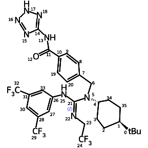 CC(C)(C)[C@H]1CC[C@H](N(Cc2ccc(C(=O)Nc3nn[nH]n3)cc2)/C(=N\CC(F)(F)F)Nc2cc(C(F)(F)F)cc(C(F)(F)F)c2)CC1